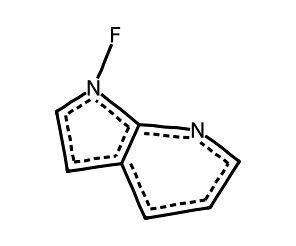 Fn1ccc2cccnc21